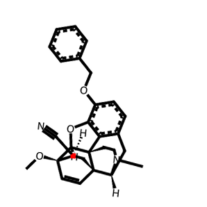 CO[C@]12C=C[C@@]3(C[C@@H]1C#N)[C@H]1Cc4ccc(OCc5ccccc5)c5c4[C@@]3(CCN1C)[C@H]2O5